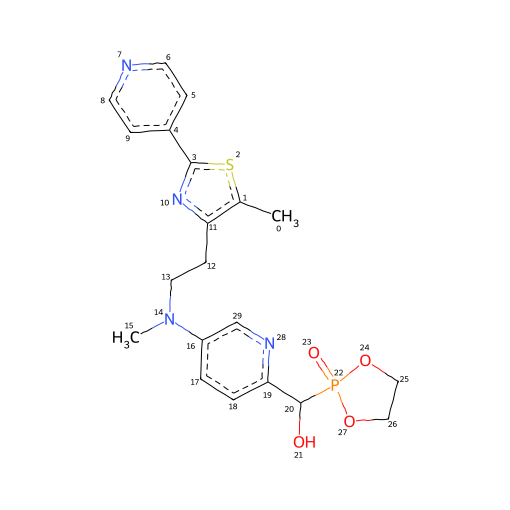 Cc1sc(-c2ccncc2)nc1CCN(C)c1ccc(C(O)P2(=O)OCCO2)nc1